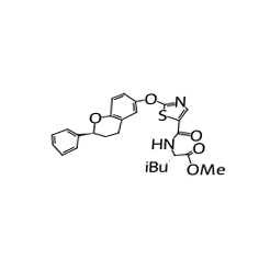 CCC(C)[C@H](NC(=O)c1cnc(Oc2ccc3c(c2)CC[C@@H](c2ccccc2)O3)s1)C(=O)OC